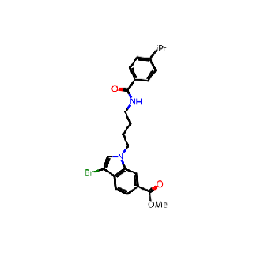 COC(=O)c1ccc2c(Br)cn(CCCCNC(=O)c3ccc(C(C)C)cc3)c2c1